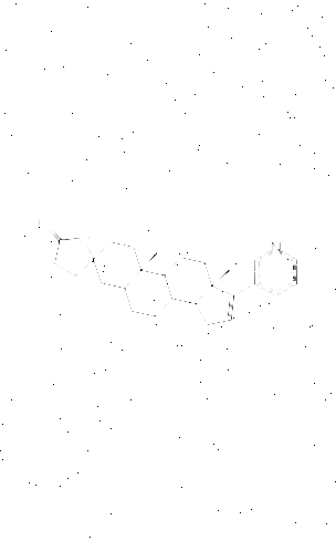 C[C@]12CCC3(CCC(=O)O3)CC1CCC1C2CC[C@]2(C)C(c3cccnc3)=CCC12